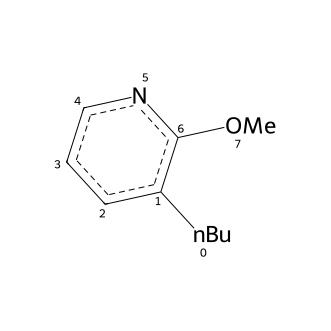 CCCCc1cccnc1OC